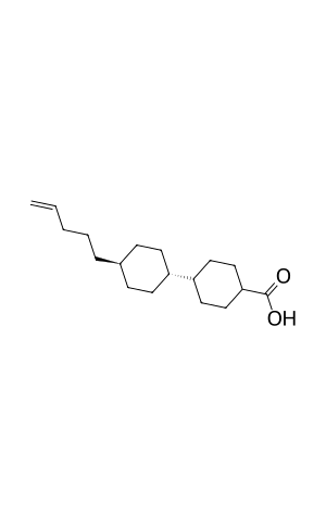 C=CCCC[C@H]1CC[C@H](C2CCC(C(=O)O)CC2)CC1